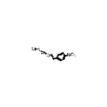 O=COCOCCc1ccc([N+](=O)[O-])cc1